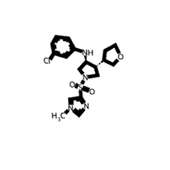 Cn1cnc(S(=O)(=O)N2C[C@@H](Nc3cccc(Cl)c3)[C@H](C3CCOC3)C2)c1